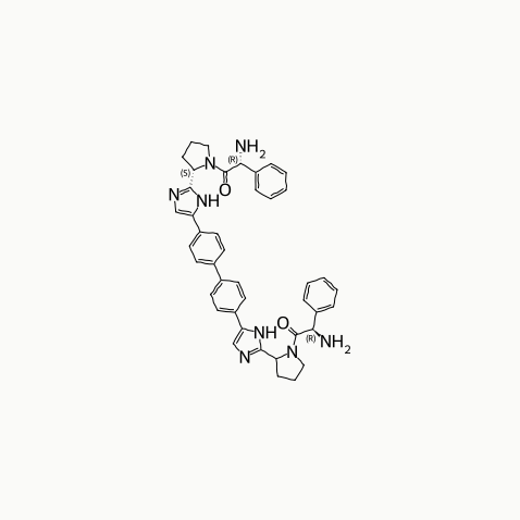 N[C@@H](C(=O)N1CCCC1c1ncc(-c2ccc(-c3ccc(-c4cnc([C@@H]5CCCN5C(=O)[C@H](N)c5ccccc5)[nH]4)cc3)cc2)[nH]1)c1ccccc1